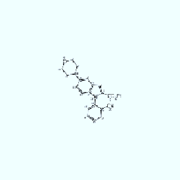 CCOC(=O)c1cc2cc(C3CCOCC3)ccc2n1-c1ccccc1C#N